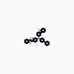 c1ccc(-c2ccc(N(c3ccc4c(c3)oc3c5ccccc5sc43)c3ccc4sc5ccccc5c4c3)cc2)cc1